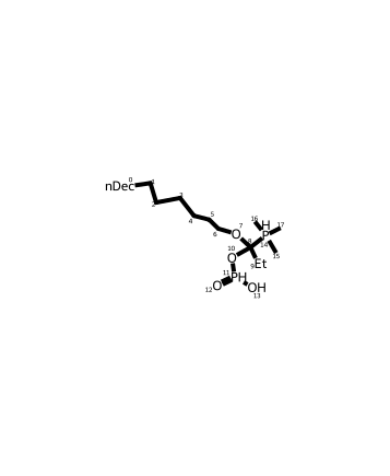 CCCCCCCCCCCCCCCCOC(CC)(O[PH](=O)O)[PH](C)(C)C